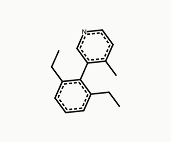 CCc1cccc(CC)c1-c1cnccc1C